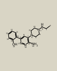 CCBN1CCN(c2cc(-c3ccccc3O)nnc2N)CC1